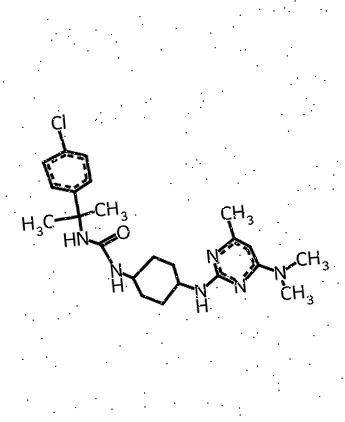 Cc1cc(N(C)C)nc(NC2CCC(NC(=O)NC(C)(C)c3ccc(Cl)cc3)CC2)n1